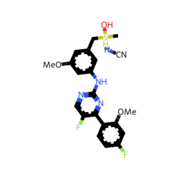 COc1cc(C[SH](C)(O)=NC#N)cc(Nc2ncc(F)c(-c3ccc(F)cc3OC)n2)c1